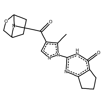 Cc1c(C(=O)N2CC3CCC(C2)OC3)cnn1-c1nc2c(c(=O)[nH]1)CCC2